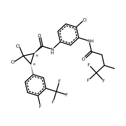 CC(CC(=O)Nc1cc(NC(=O)[C@H]2[C@H](c3ccc(F)c(C(F)(F)F)c3)C2(Cl)Cl)ccc1Cl)C(F)(F)F